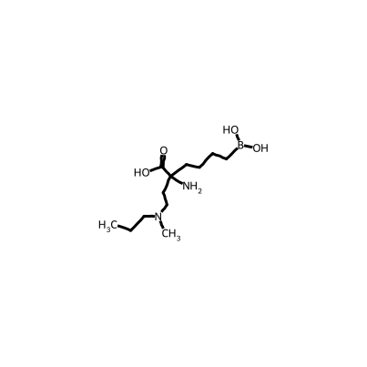 CCCN(C)CCC(N)(CCCCB(O)O)C(=O)O